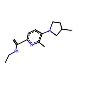 C=C(NCC)c1ccc(N2CCC(C)C2)c(C)n1